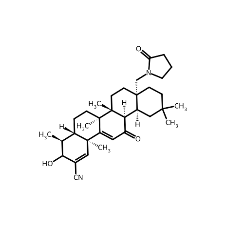 C[C@@H]1C(O)C(C#N)=C[C@]2(C)C3=CC(=O)[C@@H]4[C@@H]5CC(C)(C)CC[C@]5(CN5CCCC5=O)CC[C@@]4(C)[C@]3(C)CC[C@@H]12